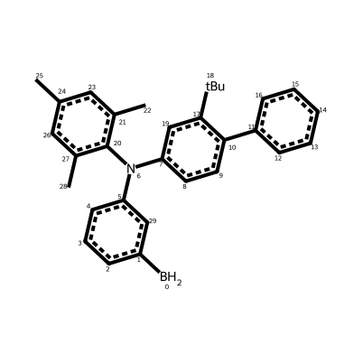 Bc1cccc(N(c2ccc(-c3ccccc3)c(C(C)(C)C)c2)c2c(C)cc(C)cc2C)c1